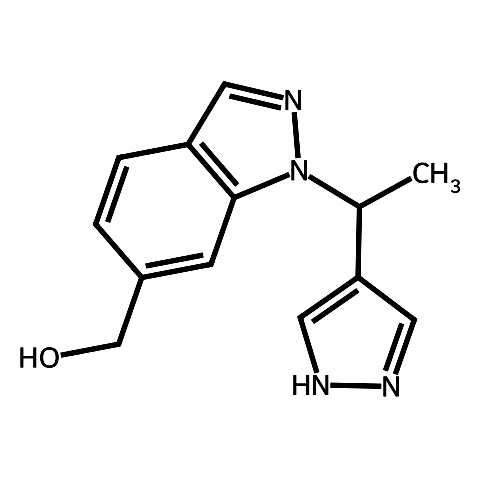 CC(c1cn[nH]c1)n1ncc2ccc(CO)cc21